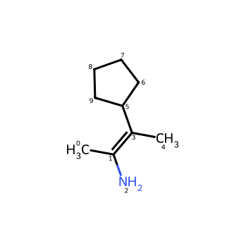 C/C(N)=C(/C)C1CCCC1